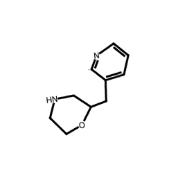 [c]1ncccc1CC1CNCCO1